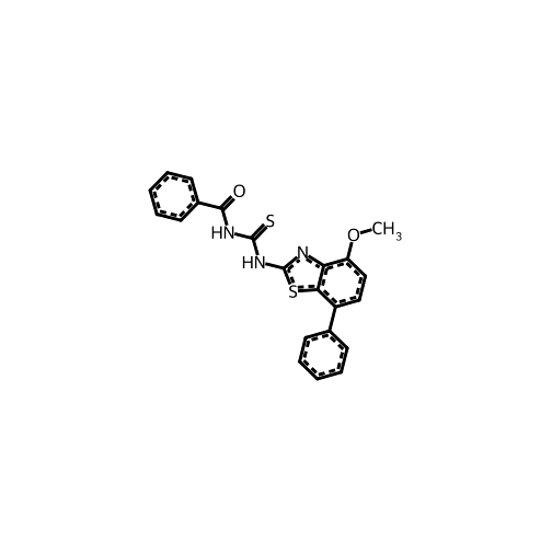 COc1ccc(-c2ccccc2)c2sc(NC(=S)NC(=O)c3ccccc3)nc12